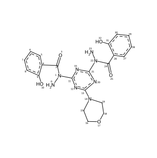 NN(C(=O)c1ccccc1O)c1nc(N2CCOCC2)nc(N(N)C(=O)c2ccccc2O)n1